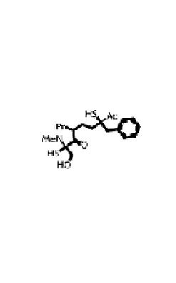 CN[C@](S)(CO)C(=O)C(CC[C@](S)(Cc1ccccc1)C(C)=O)C(C)C